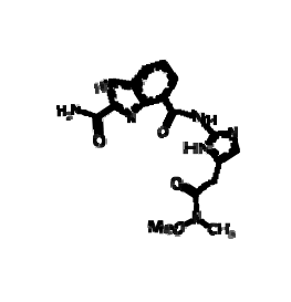 CON(C)C(=O)Cc1cnc(NC(=O)c2cccc3[nH]c(C(N)=O)nc23)[nH]1